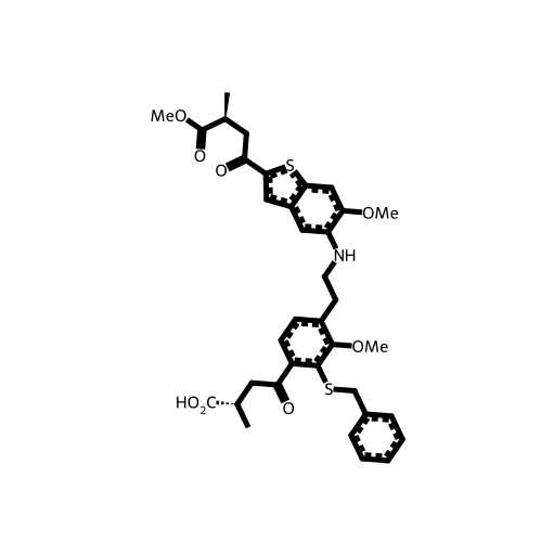 COC(=O)[C@@H](C)CC(=O)c1cc2cc(NCCc3ccc(C(=O)C[C@H](C)C(=O)O)c(SCc4ccccc4)c3OC)c(OC)cc2s1